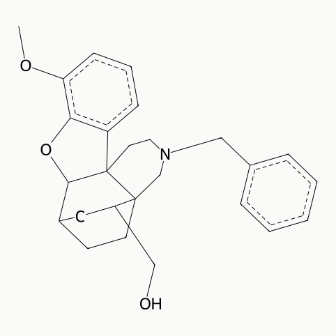 COc1cccc2c1OC1C3CCC4(CN(Cc5ccccc5)CCC214)C(CO)C3